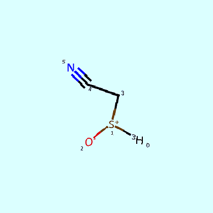 [3H][S+]([O-])CC#N